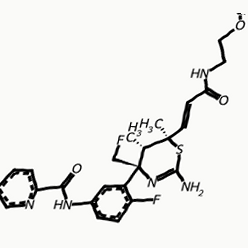 COCCNC(=O)/C=C/[C@@]1(C)SC(N)=N[C@](CF)(c2cc(NC(=O)c3ccc(Cl)cn3)ccc2F)[C@@H]1C